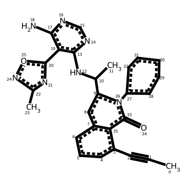 CC#Cc1cccc2cc(C(C)Nc3ncnc(N)c3-c3nc(C)no3)n(-c3ccccc3)c(=O)c12